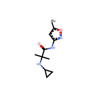 CC(C)(NC1CC1)C(=O)Nc1cc(C(C)(C)C)on1